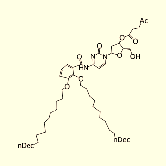 CCCCCCCCCCCCCCCCCCCCOc1cccc(C(=O)Nc2ccn([C@H]3C[C@@H](OC(=O)CCC(C)=O)[C@@H](CO)O3)c(=O)n2)c1OCCCCCCCCCCCCCCCCCCCC